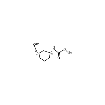 CC(C)(C)OC(=O)N[C@@H]1CCC[C@H](OC=O)C1